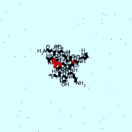 CSCC[C@H](NC(=O)[C@H](CC(=O)O)NC(=O)[C@H](CCCCN)NC(=O)[C@@H](NC(=O)CNC(=O)[C@H](C)NC(=O)[C@@H](NC(=O)[C@H](CCC(N)=O)NC(=O)[C@H](CO)NC(=O)[C@H](C)NC(=O)[C@H](CO)NC(=O)[C@H](C)NC(=O)[C@@H]1CCCN1)C(C)C)[C@@H](C)O)C(=O)N[C@@H](Cc1c[nH]cn1)C(=O)O